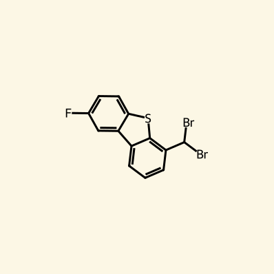 Fc1ccc2sc3c(C(Br)Br)cccc3c2c1